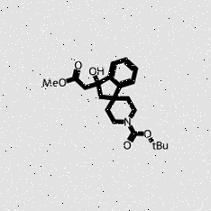 COC(=O)CC1(O)CC2(CCN(C(=O)OC(C)(C)C)CC2)c2ccccc21